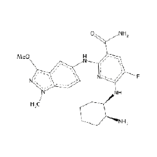 COc1nn(C)c2ccc(Nc3nc(N[C@@H]4CCCC[C@@H]4N)c(F)cc3C(N)=O)cc12